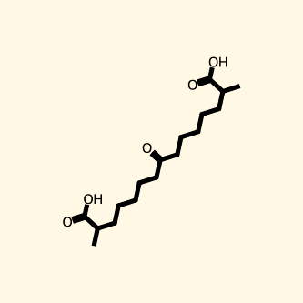 CC(CCCCCC(=O)CCCCCC(C)C(=O)O)C(=O)O